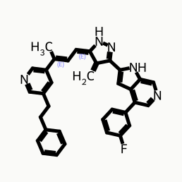 C=c1c(-c2cc3c(-c4cccc(F)c4)cncc3[nH]2)n[nH]/c1=C/C=C(\C)c1cncc(CCc2ccccc2)c1